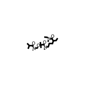 CCC(CCCN(C)C(=O)C(C)(C)OCN(C)C(=O)C(C)C)C(=O)N(C)CC